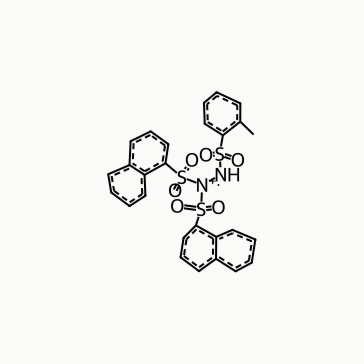 Cc1ccccc1S(=O)(=O)N[N+](S(=O)(=O)c1cccc2ccccc12)S(=O)(=O)c1cccc2ccccc12